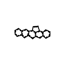 C1=Cc2c3cc4ccccc4cc3cc3cc4ccccc4c1c23